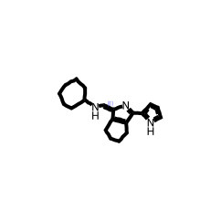 C(/NC1CCCCCC1)=C1\N=C(c2ccc[nH]2)C2=C1CCCC2